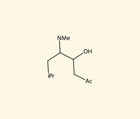 CNC(CC(C)C)C(O)CC(C)=O